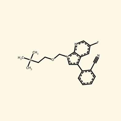 C[Si](C)(C)CCOCn1cc(-c2ccccc2C#N)c2cc(F)cnc21